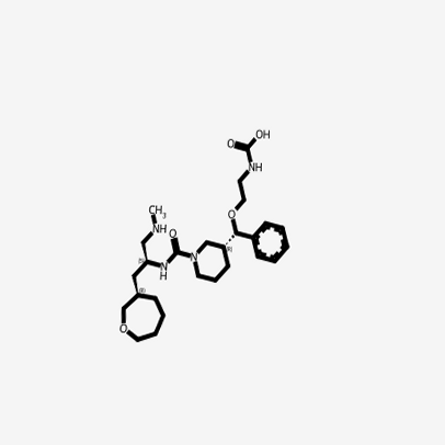 CNC[C@H](C[C@H]1CCCCOC1)NC(=O)N1CCC[C@@H](C(OCCNC(=O)O)c2ccccc2)C1